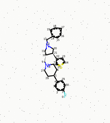 Fc1ccc(C2CCN(C[C@@H]3CN(Cc4ccccc4)C[C@H]3c3ccsc3)CC2)cc1